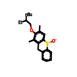 CCCCC(CC)COc1c(C)cc2c(c1C)Cc1ccccc1[S+]2[O-]